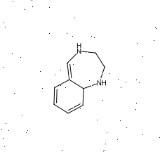 C1=CC2=CNCCNC2C=C1